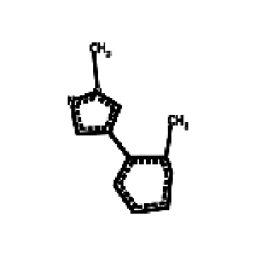 Cc1ccccc1-c1cnn(C)c1